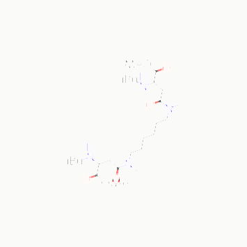 CCC(C)NC(CC(=O)N(C)CCCCCCN(C)C(=O)CC(NC(C)CC)C(=O)OC)C(=O)OC